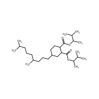 CC(C)CCCC(C)CCCC1CCC(C(=O)OC(C)C(C)C)C(C(=O)OC(C)C(C)C)C1